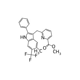 COC(=O)c1cccc(Cc2c(-c3ccccc3)[nH]c3cc(C(F)(F)F)c(C)cc23)n1